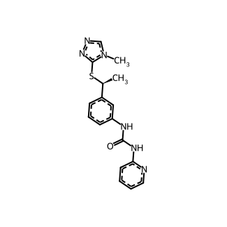 C[C@H](Sc1nncn1C)c1cccc(NC(=O)Nc2ccccn2)c1